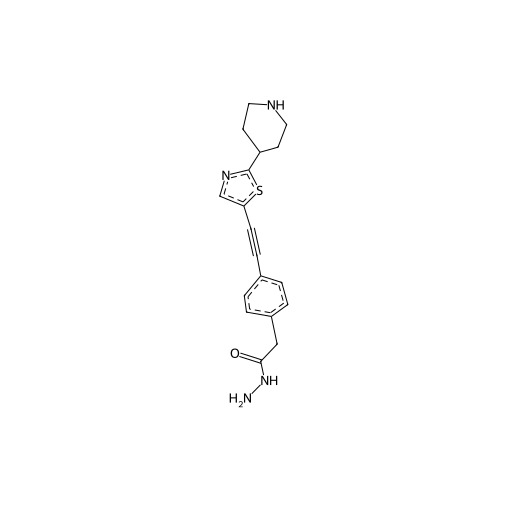 NNC(=O)Cc1ccc(C#Cc2cnc(C3CCNCC3)s2)cc1